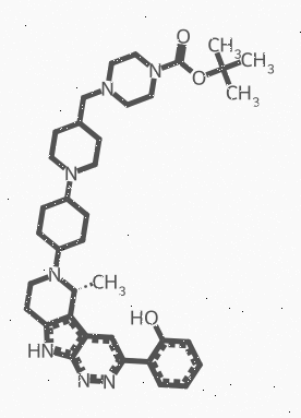 C[C@@H]1c2c([nH]c3nnc(-c4ccccc4O)cc23)CCN1C1CCC(N2CCC(CN3CCN(C(=O)OC(C)(C)C)CC3)CC2)CC1